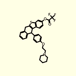 O=C(Oc1ccc2c3c(sc2c1)Cc1ccccc1C3c1ccc(OCCN2CCCCC2)cc1)C(F)(F)F